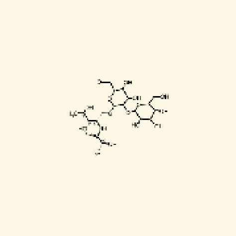 C[C@@H](O)C(=O)N[C@@H](COC1OC(CO)C(O)C(O)C1OC1OC(CO)C(O)C(O)C1O)[C@H](O)[C@@H](C)O